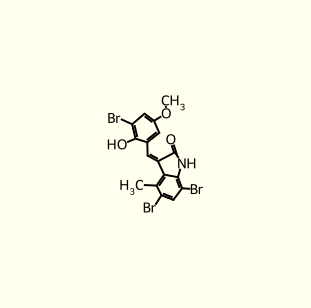 COc1cc(Br)c(O)c(C=C2C(=O)Nc3c(Br)cc(Br)c(C)c32)c1